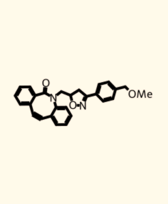 COCc1ccc(C2=NOC(CN3C(=O)c4ccccc4C#Cc4ccccc43)C2)cc1